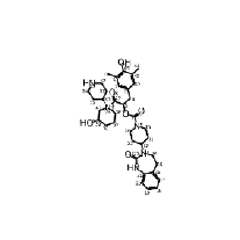 Cc1cc(CC(OC(=O)N2CCC(N3CCc4ccccc4NC3=O)CC2)C(=O)[N@+]2(C3CCNCC3)CCC[C@@H](O)C2)cc(C)c1O